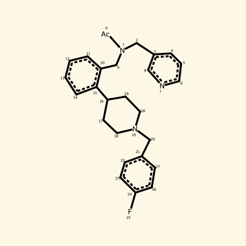 CC(=O)N(Cc1cccnc1)Cc1ccccc1C1CCN(Cc2ccc(F)cc2)CC1